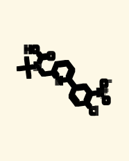 CC(C)(C)N(Cc1cccc(-c2ccc(Cl)c([N+](=O)[O-])c2)n1)C(=O)O